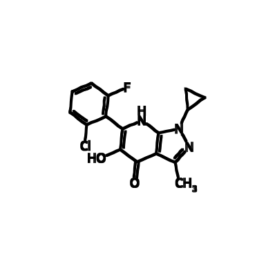 Cc1nn(C2CC2)c2[nH]c(-c3c(F)cccc3Cl)c(O)c(=O)c12